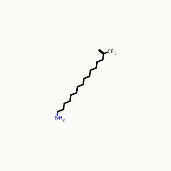 C=C(CCCCCCCCCCCCCCN)C(F)(F)F